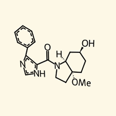 CO[C@@]12CC[C@H](O)C[C@@H]1N(C(=O)c1[nH]cnc1-c1ccccc1)CC2